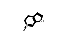 [O-][N+]1=CC2=C(C=C[SH]2)CC1